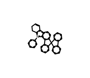 C1=Cc2c(n(-c3ccccc3)c3c4c(ccc23)C2(c3ccccc3-c3ccccc32)c2ccccc2-4)CC1